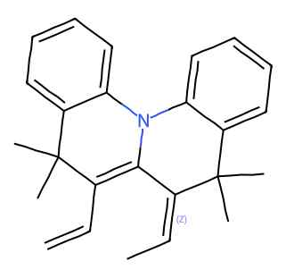 C=CC1=C2/C(=C\C)C(C)(C)c3ccccc3N2c2ccccc2C1(C)C